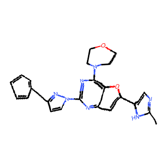 Cc1ncc(-c2cc3nc(-n4ccc(-c5ccccc5)n4)nc(N4CCOCC4)c3o2)[nH]1